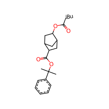 CCC(C)C(=O)OC1CC2CC1CC2C(=O)OC(C)(C)c1ccccc1